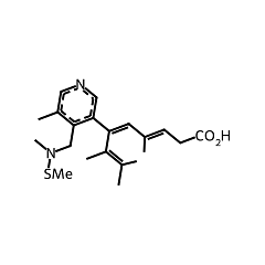 CSN(C)Cc1c(C)cncc1/C(=C/C(C)=C/CC(=O)O)C(C)=C(C)C